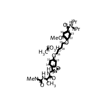 CNC(=O)N[C@@H](C)C(=O)Nc1noc2cc(OCCCCOc3ccc(C(=O)N(C(C)C)C(C)C)cc3OC)ccc12.CS(=O)(=O)O